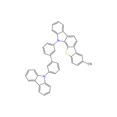 N#Cc1ccc2sc3c(ccc4c5ccccc5n(-c5cccc(-c6cccc(-n7c8ccccc8c8ccccc87)c6)c5)c43)c2c1